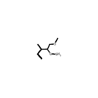 CCC(C)C(COC)O[SiH3]